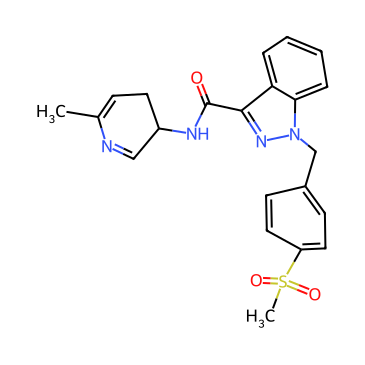 CC1=CCC(NC(=O)c2nn(Cc3ccc(S(C)(=O)=O)cc3)c3ccccc23)C=N1